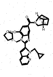 COc1cc(C(=O)N2C[C@H]3CC4C[C@@H]2[C@H]43)cc2nc(-c3cc4cccnc4n3CC3CC3)n(C[C@@H]3CCOC3)c12